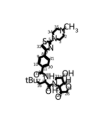 CN1CCN(c2nc(-c3ccc(C(=O)NC(CC(C)(C)C)C(=O)N4C[C@@H](O)[C@H]5OCC(=O)[C@H]54)cc3)cs2)CC1